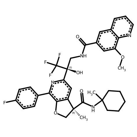 COc1cc(C(=O)NC[C@](O)(c2cc3c(c(-c4ccc(F)cc4)n2)OC[C@]3(C)C(=O)NC2(C)CCCCC2)C(F)(F)F)cc2cccnc12